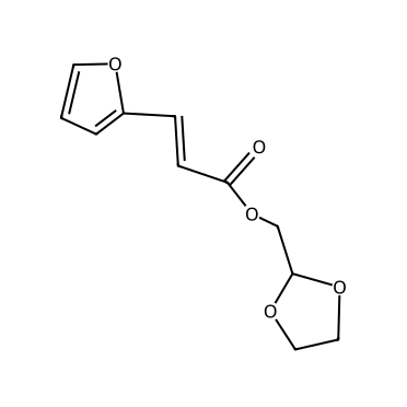 O=C(C=Cc1ccco1)OCC1OCCO1